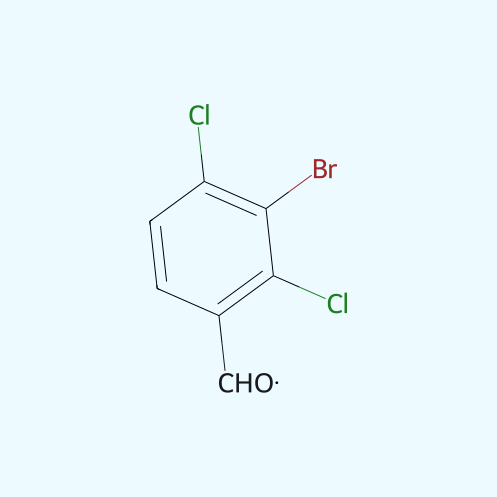 O=[C]c1ccc(Cl)c(Br)c1Cl